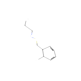 CCCNSCC1C=CC=CC1C